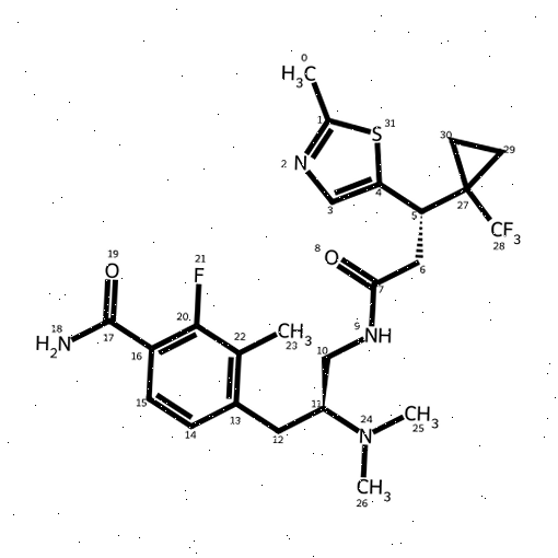 Cc1ncc([C@@H](CC(=O)NC[C@H](Cc2ccc(C(N)=O)c(F)c2C)N(C)C)C2(C(F)(F)F)CC2)s1